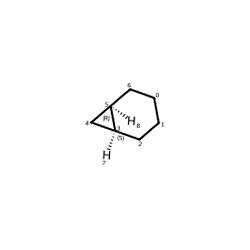 C1CC[C@H]2C[C@H]2C1